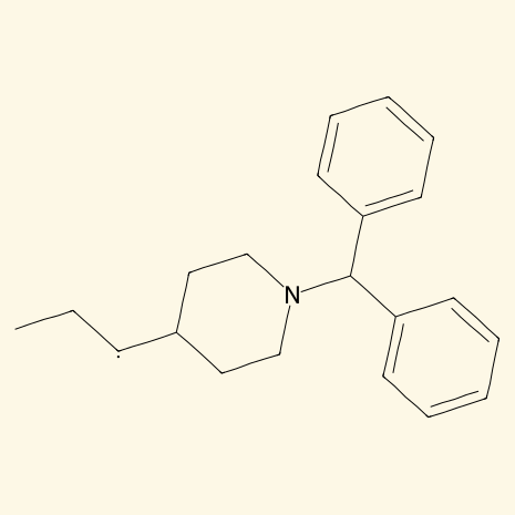 CC[CH]C1CCN(C(c2ccccc2)c2ccccc2)CC1